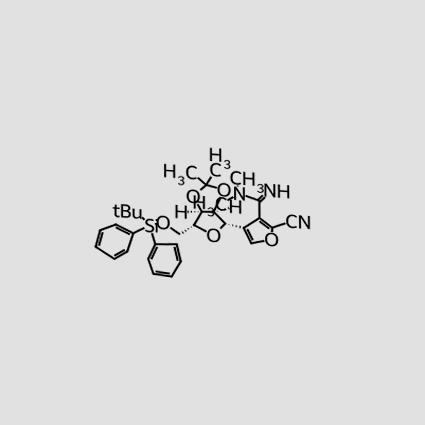 CN(C)C(=N)c1c([C@@H]2O[C@H](CO[Si](c3ccccc3)(c3ccccc3)C(C)(C)C)[C@H]3OC(C)(C)O[C@H]32)coc1C#N